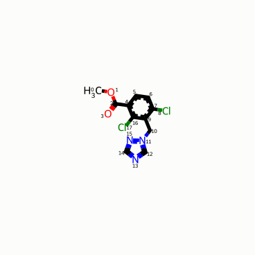 COC(=O)c1ccc(Cl)c(Cn2cncn2)c1Cl